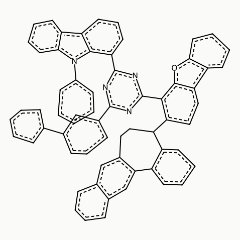 c1ccc(-c2cccc(-c3nc(-c4c(C5CCc6cc7ccccc7cc6-c6ccccc65)ccc5c4oc4ccccc45)nc(-c4cccc5c6ccccc6n(-c6ccccc6)c45)n3)c2)cc1